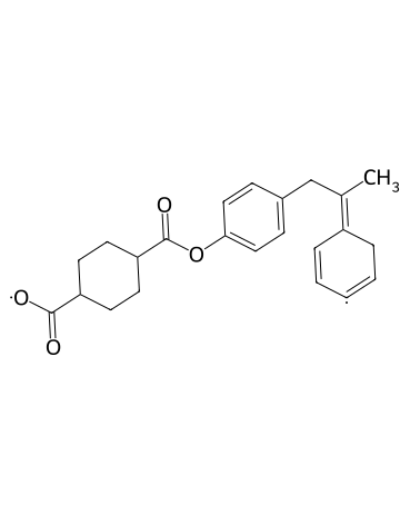 CC(Cc1ccc(OC(=O)C2CCC(C([O])=O)CC2)cc1)=C1C=C[C]=CC1